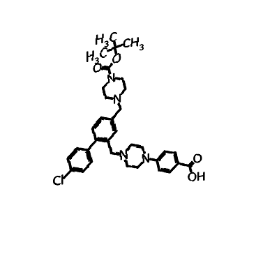 CC(C)(C)OC(=O)N1CCN(Cc2ccc(-c3ccc(Cl)cc3)c(CN3CCN(c4ccc(C(=O)O)cc4)CC3)c2)CC1